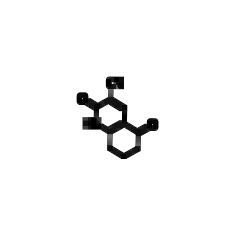 N#Cc1cc2c([nH]c1=O)CCCC2=O